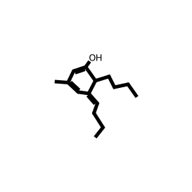 CCCC=C1C=C(C)C=C(O)C1CCCC